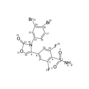 NS(=O)(=O)c1c(F)cc(-c2coc(=O)n2-c2ccc(Br)c(Br)c2)cc1F